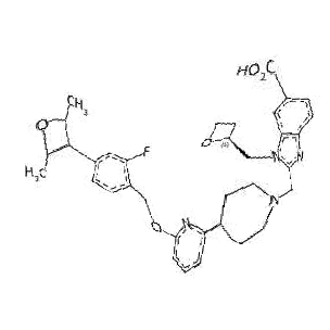 CC1OC(C)C1c1ccc(COc2cccc(C3CCN(Cc4nc5ccc(C(=O)O)cc5n4C[C@@H]4CCO4)CC3)n2)c(F)c1